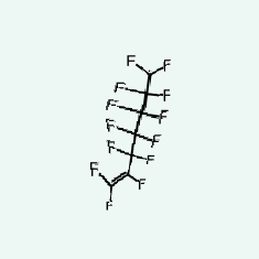 F[C](F)C(F)(F)C(F)(F)C(F)(F)C(F)(F)C(F)=C(F)F